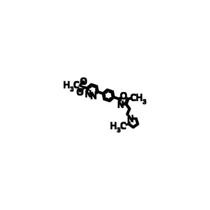 Cc1oc(-c2ccc(-c3ccc(S(C)(=O)=O)nn3)cc2)nc1CCN1CCC[C@H]1C